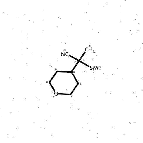 CSC(C)(C#N)C1CCOCC1